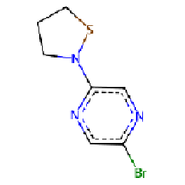 Brc1cnc(N2CCCS2)cn1